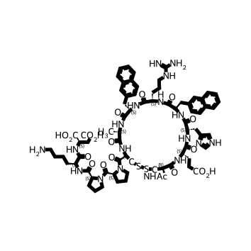 CC(=O)N[C@H]1CSSC[C@@H](C(=O)N2CCC[C@H]2C(=O)N2CCC[C@H]2C(=O)N[C@@H](CCCCN)C(=O)N[C@@H](CC(=O)O)C(=O)O)NC(=O)[C@H](C)NC(=O)[C@H](Cc2ccc3ccccc3c2)NC(=O)[C@H](CCCNC(=N)N)NC(=O)[C@@H](Cc2ccc3ccccc3c2)NC(=O)[C@H](Cc2c[nH]cn2)NC(=O)[C@H](CCC(=O)O)NC1=O